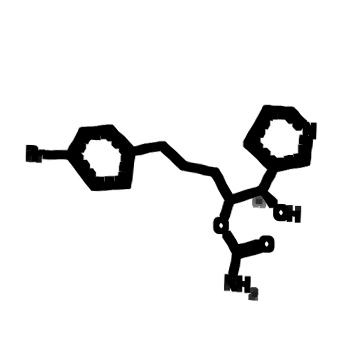 NC(=O)OC(CCCc1ccc(Br)cc1)[C@H](O)c1cccnc1